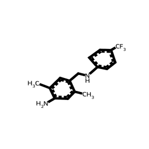 Cc1cc(CNc2ccc(C(F)(F)F)cc2)c(C)cc1N